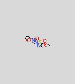 CCOC(=O)c1sc(N2CCN(CC3CCCCO3)C2=O)nc1C